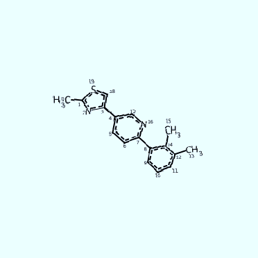 Cc1nc(-c2ccc(-c3cccc(C)c3C)nc2)cs1